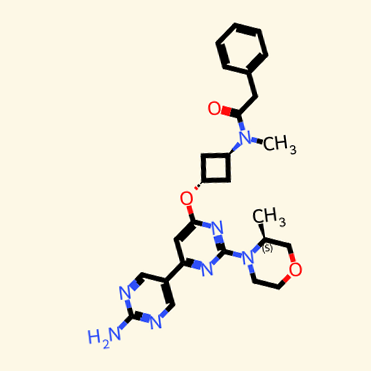 C[C@H]1COCCN1c1nc(O[C@H]2C[C@H](N(C)C(=O)Cc3ccccc3)C2)cc(-c2cnc(N)nc2)n1